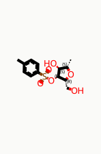 Cc1ccc(S(=O)(=O)O[C@@H]2[C@@H](O)[C@H](C)O[C@@H]2CO)cc1